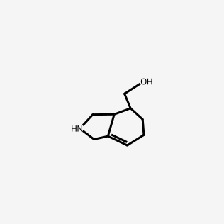 OCC1CCC=C2CNCC21